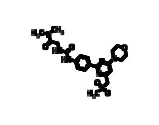 CN(C)C(=O)CNC(=O)Nc1ccc(-c2nc(CS(C)(=O)=O)cc(N3CCOCC3)n2)cc1